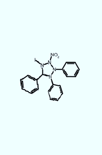 O=[N+]([O-])N1N(I)C(c2ccccc2)N(c2ccccc2)N1c1ccccc1